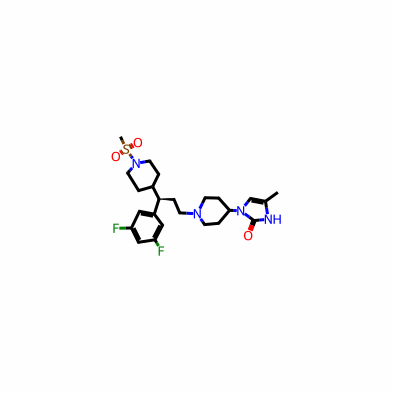 Cc1cn(C2CCN(CC[C@@H](c3cc(F)cc(F)c3)C3CCN(S(C)(=O)=O)CC3)CC2)c(=O)[nH]1